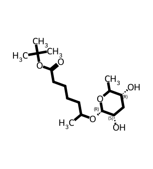 CC(CCCCC(=O)OC(C)(C)C)O[C@@H]1OC(C)[C@H](O)C[C@@H]1O